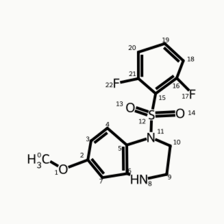 COc1ccc2c(c1)NCCN2S(=O)(=O)c1c(F)cccc1F